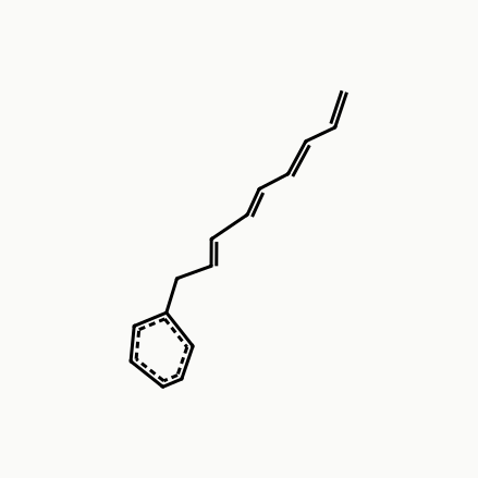 C=CC=CC=CC=CCc1ccccc1